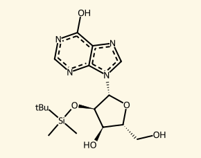 CC(C)(C)[Si](C)(C)O[C@@H]1[C@H](O)[C@@H](CO)O[C@H]1n1cnc2c(O)ncnc21